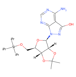 CC(C)[Si](OC[C@H]1O[C@@H](n2nc(O)c3c(N)ncnc32)[C@@H]2OC(C)(C)O[C@@H]21)(C(C)C)C(C)C